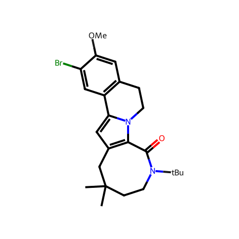 COc1cc2c(cc1Br)-c1cc3c(n1CC2)C(=O)N(C(C)(C)C)CCC(C)(C)C3